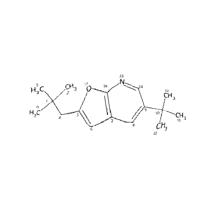 CC(C)(C)Cc1cc2cc(C(C)(C)C)cnc2o1